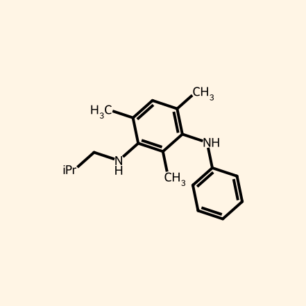 Cc1cc(C)c(Nc2ccccc2)c(C)c1NCC(C)C